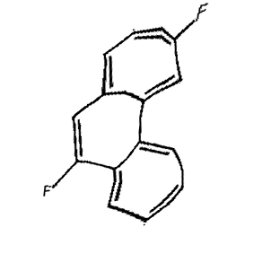 Fc1[c]cc2cc(F)c3c[c]ccc3c2c1